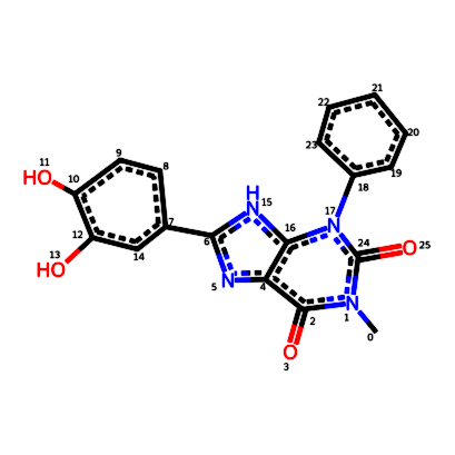 Cn1c(=O)c2nc(-c3ccc(O)c(O)c3)[nH]c2n(-c2ccccc2)c1=O